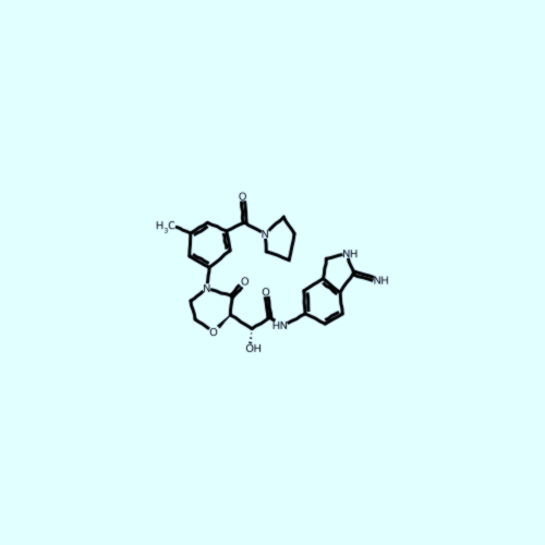 Cc1cc(C(=O)N2CCCC2)cc(N2CCO[C@H]([C@@H](O)C(=O)Nc3ccc4c(c3)CNC4=N)C2=O)c1